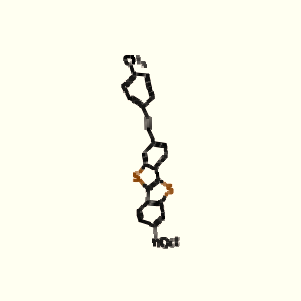 CCCCCCCCc1ccc2c(c1)sc1c3ccc(C#Cc4ccc(C)cc4)cc3sc21